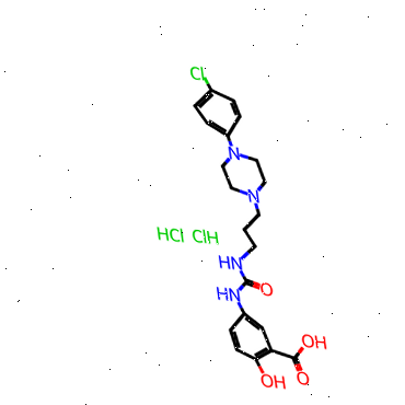 Cl.Cl.O=C(NCCCN1CCN(c2ccc(Cl)cc2)CC1)Nc1ccc(O)c(C(=O)O)c1